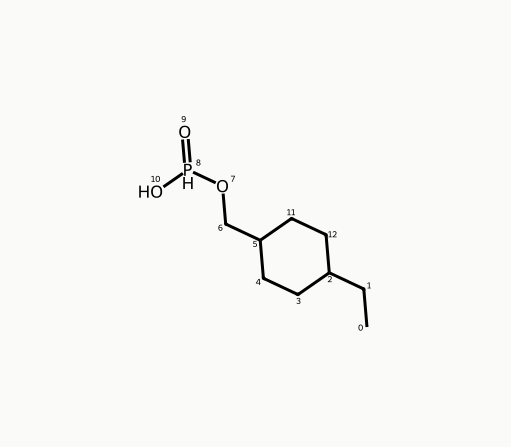 CCC1CCC(CO[PH](=O)O)CC1